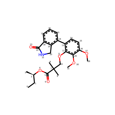 CC[C@@H](C)OC(=O)C(C)(C)COc1c(-c2cccc3c2CNC3=O)ccc(OC)c1OC